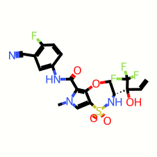 C=CC(O)([C@H]1COc2c(cn(C)c2C(=O)Nc2ccc(F)c(C#N)c2)S(=O)(=O)N1)C(F)(F)F